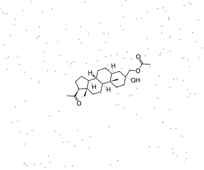 CC(=O)OC[C@@]1(O)CC[C@@]2(C)[C@@H](CC[C@@H]3[C@@H]2CC[C@]2(C)[C@@H](C(C)=O)CC[C@@H]32)C1